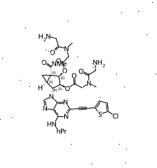 CCCNc1nc(C#Cc2ccc(Cl)s2)nc2c1ncn2[C@H]1[C@H](OC(=O)CN(C)C(=O)CN)[C@H](OC(=O)CN(C)C(=O)CN)[C@]2(C(=O)NC)C[C@H]12